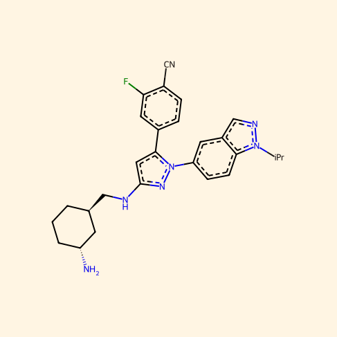 CC(C)n1ncc2cc(-n3nc(NC[C@@H]4CCC[C@@H](N)C4)cc3-c3ccc(C#N)c(F)c3)ccc21